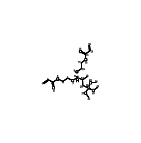 C=CC(=O)OCCO[SiH](OCCOC(=O)C=C)C(C)C[Si](OC)(OC)OC